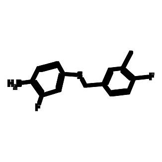 Bc1ccc(SCc2ccc(F)c(C)c2)cc1F